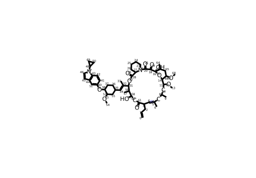 C=CCC1/C=C(\C)CC(C)CC(OC)C2OC(O)(C(=O)C(=O)N3CCCCC3C(=O)OC(C(C)=CC3CCC(Oc4ccc5c(ccn5C5CC5)c4)C(OC)C3)C(C)C(O)CC1=O)C(C)CC2OC